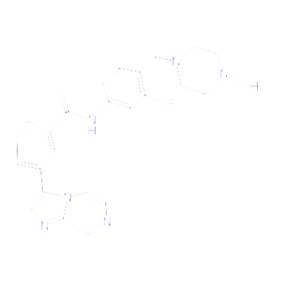 CN1CCN(Cc2ccc(NC(=O)c3cccc(-c4cnc5cnccn45)c3)cc2C(F)(F)F)CC1